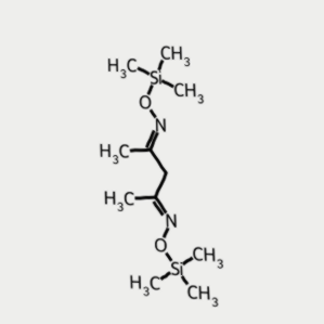 C/C(C/C(C)=N/O[Si](C)(C)C)=N\O[Si](C)(C)C